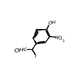 O=[C]C(I)c1ccc(O)c([N+](=O)[O-])c1